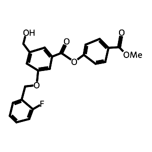 COC(=O)c1ccc(OC(=O)c2cc(CO)cc(OCc3ccccc3F)c2)cc1